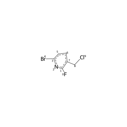 Fc1nc(Br)ccc1CCl